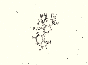 Cc1c[nH]c2c(-c3ccc4c(c3C(F)(F)F)-n3c(C)nnc3C(C)(C)N4)cccc12